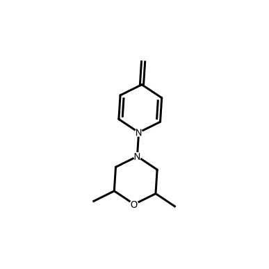 C=C1C=CN(N2CC(C)OC(C)C2)C=C1